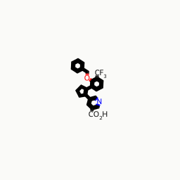 O=C(O)c1cncc(C2=C(c3cccc(C(F)(F)F)c3OCc3ccccc3)CCC2)c1